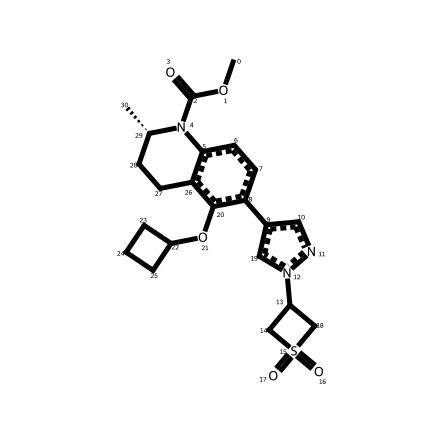 COC(=O)N1c2ccc(-c3cnn(C4CS(=O)(=O)C4)c3)c(OC3CCC3)c2CC[C@@H]1C